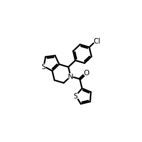 O=C(c1cccs1)N1CCc2sccc2C1c1ccc(Cl)cc1